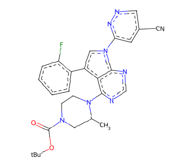 CC1CN(C(=O)OC(C)(C)C)CCN1c1ncnc2c1c(-c1ccccc1F)cn2-c1cc(C#N)cnn1